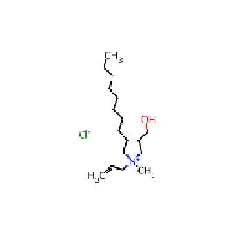 C=CC[N+](C)(CCCO)CCCCCCCCCC.[Cl-]